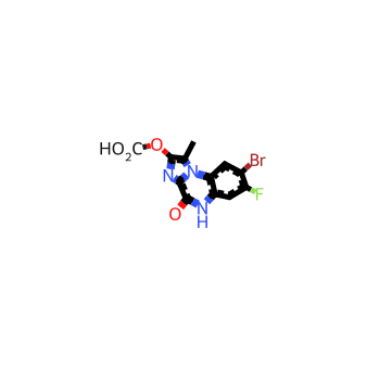 Cc1c(OC(=O)O)nc2c(=O)[nH]c3cc(F)c(Br)cc3n12